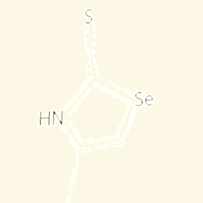 Cc1c[se]c(=S)[nH]1